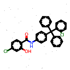 O=C(Nc1ccc(C(c2ccccc2)(c2ccccc2)c2ccccc2Cl)cc1)c1ccc(Cl)cc1O